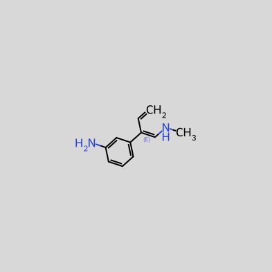 C=C/C(=C\NC)c1cccc(N)c1